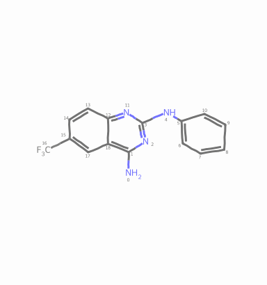 Nc1nc(Nc2ccccc2)nc2ccc(C(F)(F)F)cc12